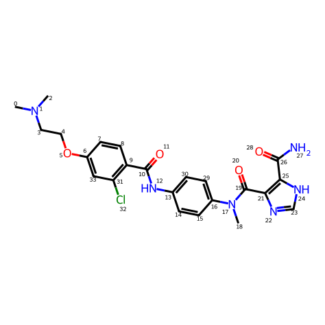 CN(C)CCOc1ccc(C(=O)Nc2ccc(N(C)C(=O)c3nc[nH]c3C(N)=O)cc2)c(Cl)c1